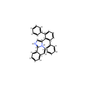 c1ccc(-c2cccc(-c3ccccc3)c2-c2cnc3c4ccccc4ccn23)cc1